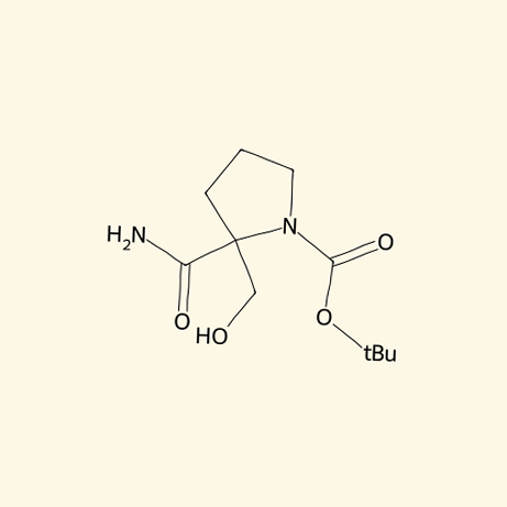 CC(C)(C)OC(=O)N1CCCC1(CO)C(N)=O